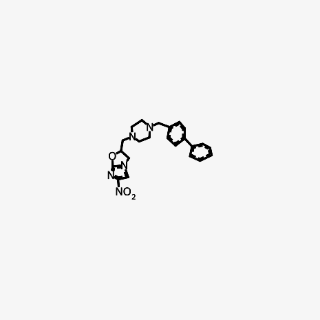 O=[N+]([O-])c1cn2c(n1)OC(CN1CCN(Cc3ccc(-c4ccccc4)cc3)CC1)C2